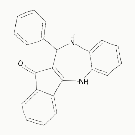 O=C1C2=C(Nc3ccccc3NC2c2ccccc2)c2ccccc21